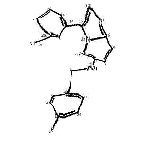 Fc1ccc(CNc2ccc3ncc(-c4cccc(Cl)c4)n3n2)cc1